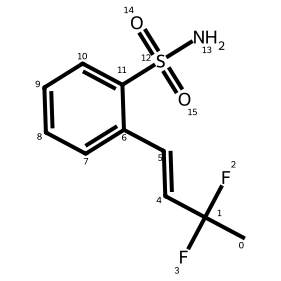 CC(F)(F)C=Cc1ccccc1S(N)(=O)=O